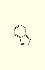 C1=CCC2=CC=CC2=C1